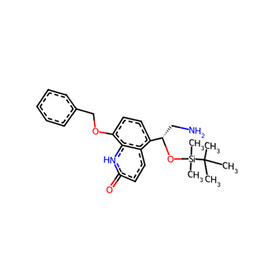 CC(C)(C)[Si](C)(C)O[C@@H](CN)c1ccc(OCc2ccccc2)c2[nH]c(=O)ccc12